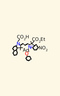 CCOC(=O)CC1(C)C(/C=C/C=C2/N(CCC(=O)O)c3ccc4ccccc4c3C2(C)CC(C)=O)=[N+](CCOc2ccccc2)c2ccc([N+](=O)[O-])cc21